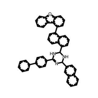 c1ccc(-c2ccc(C3=NC(c4ccc5ccccc5c4)NC(c4cccc5c(-c6cccc7oc8ccccc8c67)cccc45)N3)cc2)cc1